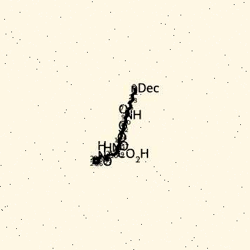 CCCCCCCCCCCCCCCC(=O)NCCOCCOCC(=O)NC(CCC(=O)NC1CCC1)C(=O)O